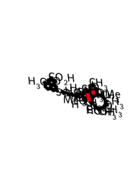 CC[C@H]1OC(=O)[C@H](C)[C@@H](O[C@H]2C[C@@](C)(OC)[C@@H](OC(=O)NCCOCCSc3cc4c5c(c3)c(=O)c(C(=O)O)cn5C(C)CC4)[C@H](C)O2)[C@H](C)[C@@H](OC2O[C@H](C)C[C@H](N(C)C)[C@H]2O)[C@](C)(OC)C[C@@H](C)C(=O)[C@H](C)[C@@H](O)[C@]1(C)O